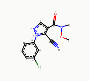 CON(C)C(=O)c1cnn(-c2cccc(Cl)c2)c1C#N